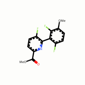 COC(=O)c1ccc(F)c(-c2c(F)ccc(OC)c2F)n1